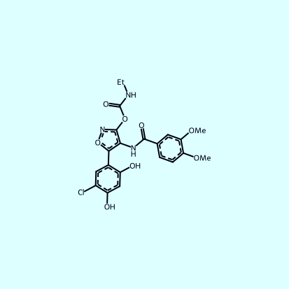 CCNC(=O)Oc1noc(-c2cc(Cl)c(O)cc2O)c1NC(=O)c1ccc(OC)c(OC)c1